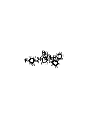 C[C@](C(=O)O[C@H]1C[N+]2(CCc3ccc(F)cc3)CCC1CC2)(c1ccccc1)N1CCCCC1.[Br-]